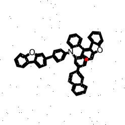 c1cc(-c2ccc3ccccc3c2)cc(N(c2ccc(-c3ccc4c(c3)oc3ccccc34)cc2)c2ccccc2-c2cccc3oc4ccccc4c23)c1